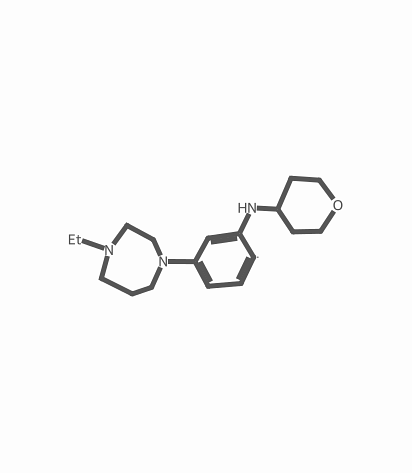 CCN1CCCN(c2cc[c]c(NC3CCOCC3)c2)CC1